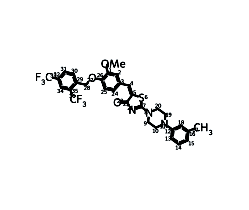 COc1cc(C=C2SC(N3CCN(c4cccc(C)c4)CC3)=NC2=O)ccc1OCc1ccc(C(F)(F)F)cc1C(F)(F)F